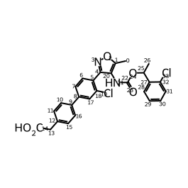 Cc1onc(-c2ccc(-c3ccc(CC(=O)O)cc3)cc2Cl)c1NC(=O)OC(C)c1ccccc1Cl